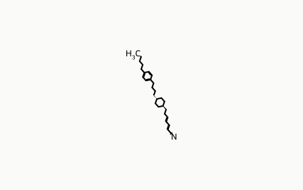 CCCCCc1ccc(CCCC[C@H]2CC[C@H](CCC=CC=CC#N)CC2)cc1